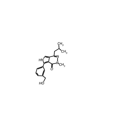 CC(C)Cc1nn(C)c(=O)c2c(-c3cccc(CO)c3)[nH]cc12